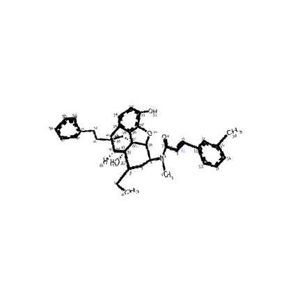 CCC1CC(N(C)C(=O)/C=C/c2cccc(C)c2)C2Oc3c(O)ccc4c3[C@@]23CCN(CCc2ccccc2)[C@H](C4)[C@]13O